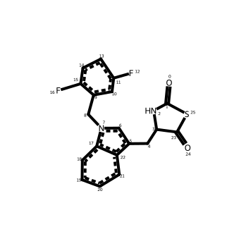 O=C1NC(Cc2cn(Cc3cc(F)ccc3F)c3ccccc23)C(=O)S1